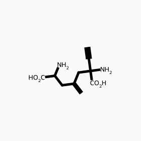 C#CC(N)(CC(=C)CC(N)C(=O)O)C(=O)O